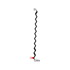 CCC=CCCCCCCCCCCCCCC=CC=CC(=O)OC